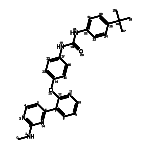 CNc1nccc(-c2cccnc2Oc2ccc(NC(=O)Nc3ccc(C(C)(C)C)cc3)cc2)n1